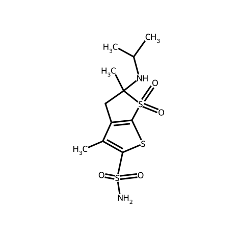 Cc1c(S(N)(=O)=O)sc2c1CC(C)(NC(C)C)S2(=O)=O